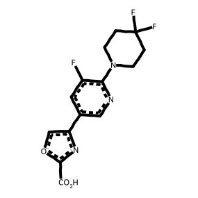 O=C(O)c1nc(-c2cnc(N3CCC(F)(F)CC3)c(F)c2)co1